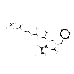 COc1nn2c(c1Cl)N(C(NCCCNC(=O)OC(C)(C)C)C(C)C)CN(Cc1ccccc1)C2=O